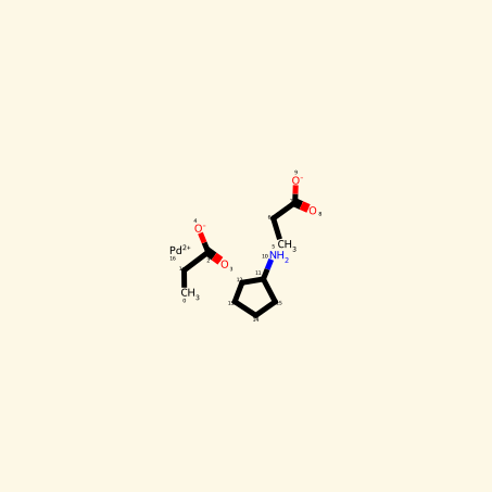 CCC(=O)[O-].CCC(=O)[O-].NC1CCCC1.[Pd+2]